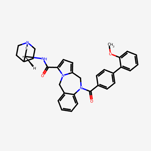 COc1ccccc1-c1ccc(C(=O)N2Cc3ccc(C(=O)N[C@H]4CN5CCC4CC5)n3Cc3ccccc32)cc1